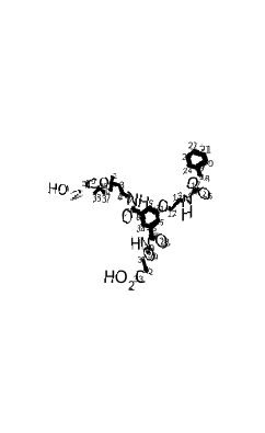 CC(C)(CCNC(=O)c1cc(OCCNC(=O)OCc2ccccc2)cc(C(=O)NOCCC(=O)O)c1)OC(C)(C)C(=O)O